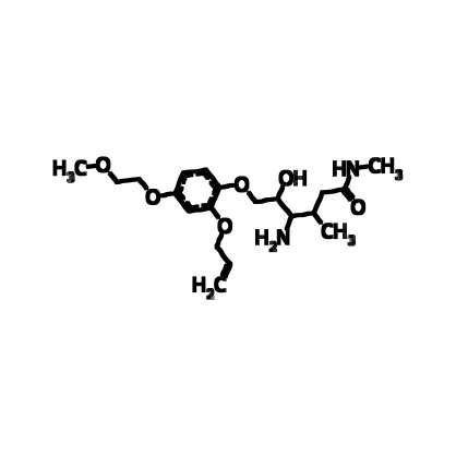 C=CCOc1cc(OCCOC)ccc1OCC(O)C(N)C(C)CC(=O)NC